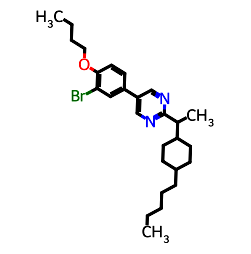 CCCCCC1CCC(C(C)c2ncc(-c3ccc(OCCCC)c(Br)c3)cn2)CC1